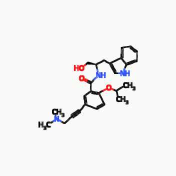 CC(C)Oc1ccc(C#CCN(C)C)cc1C(=O)N[C@@H](CO)Cc1c[nH]c2ccccc12